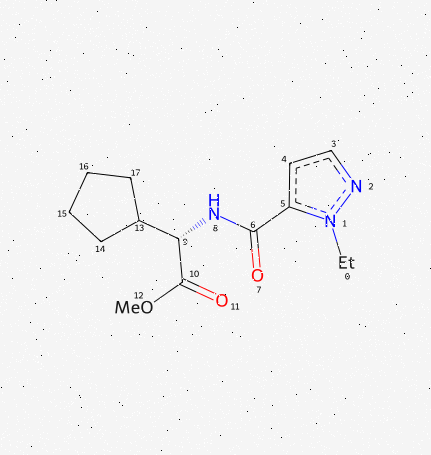 CCn1nccc1C(=O)N[C@H](C(=O)OC)C1CCCC1